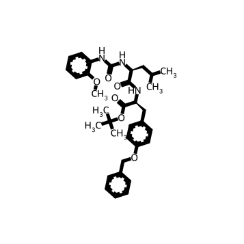 COc1ccccc1NC(=O)N[C@@H](CC(C)C)C(=O)N[C@@H](Cc1ccc(OCc2ccccc2)cc1)C(=O)OC(C)(C)C